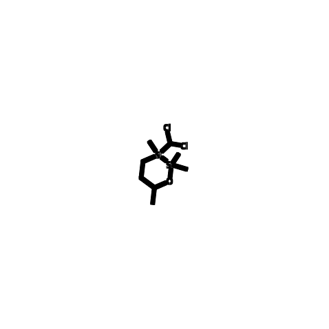 CC1CC[Si](C)(C(Cl)Cl)[Si](C)(C)O1